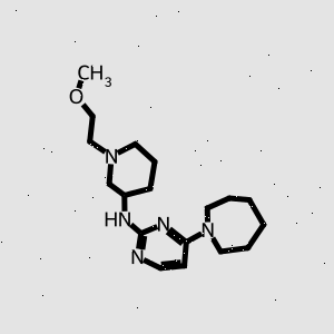 COCCN1CCCC(Nc2nccc(N3CCCCCC3)n2)C1